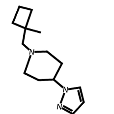 CC1(CN2CCC(n3cccn3)CC2)CCC1